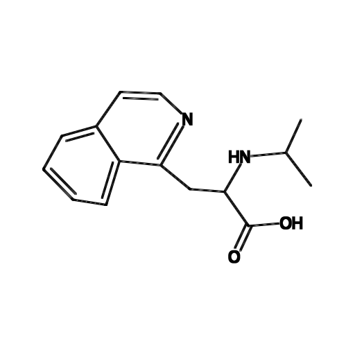 CC(C)NC(Cc1nccc2ccccc12)C(=O)O